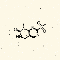 CN1C(=O)NCc2cnc(S(C)(=O)=O)nc21